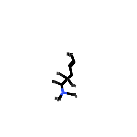 C/C=C/C[Si](CC)(CCC)C(CC)N(C)C